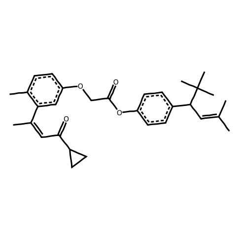 CC(C)=CC(c1ccc(OC(=O)COc2ccc(C)c(/C(C)=C\C(=O)C3CC3)c2)cc1)C(C)(C)C